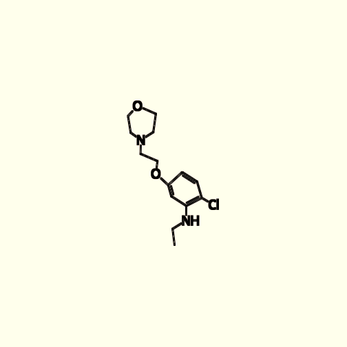 CCNc1cc(OCCN2CCOCC2)ccc1Cl